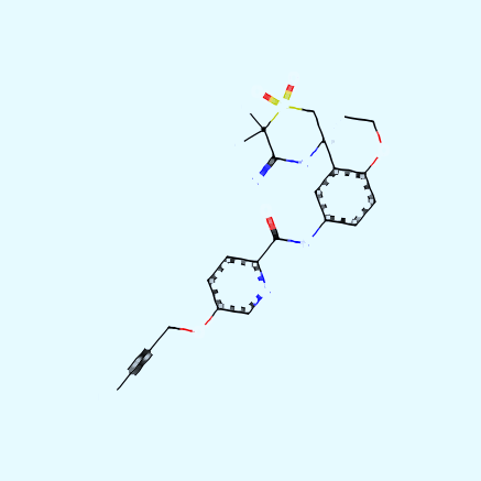 CC#CCOc1ccc(C(=O)Nc2ccc3c(c2)[C@]2(CCO3)CS(=O)(=O)C(C)(C)C(=N)N2)nc1